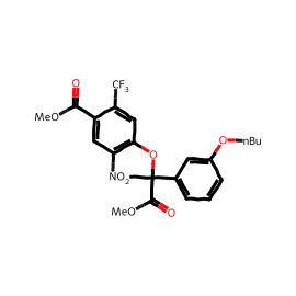 CCCCOc1cccc(C(C)(Oc2cc(C(F)(F)F)c(C(=O)OC)cc2[N+](=O)[O-])C(=O)OC)c1